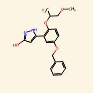 COCC(C)Oc1ccc(OCc2ccccc2)cc1-c1cc(O)n[nH]1